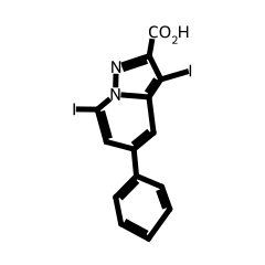 O=C(O)c1nn2c(I)cc(-c3ccccc3)cc2c1I